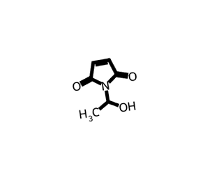 CC(O)N1C(=O)C=CC1=O